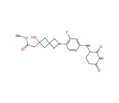 CC(C)(C)OC(=O)CC1(O)CC2(CN(c3ccc(NC4CCC(=O)NC4=O)cc3F)C2)C1